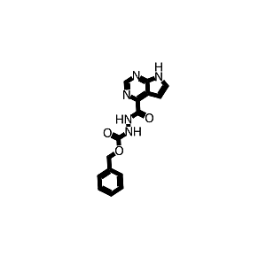 O=C(NNC(=O)c1ncnc2[nH]ccc12)OCc1ccccc1